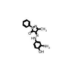 CC1=NN(c2ccccc2)C(=O)C1=NNc1ccc(O)c(N)c1